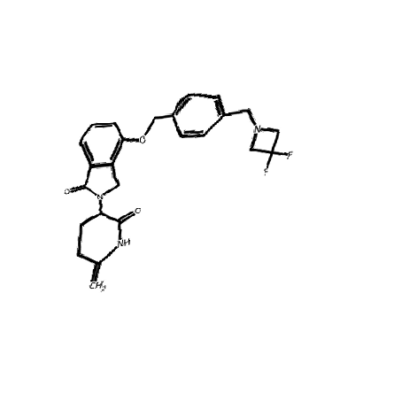 C=C1CCC(N2Cc3c(OCc4ccc(CN5CC(F)(F)C5)cc4)cccc3C2=O)C(=O)N1